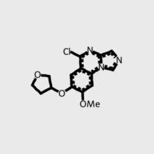 COc1cc2c(cc1OC1CCOC1)c(Cl)nc1cncn12